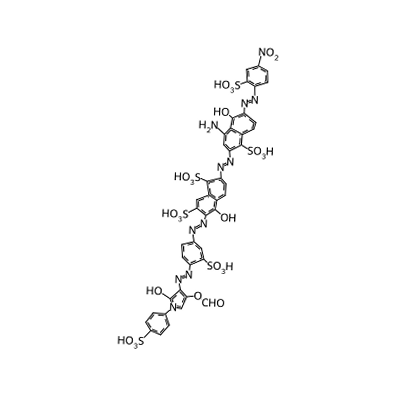 Nc1cc(N=Nc2ccc3c(O)c(N=Nc4ccc(N=Nc5c(OC=O)cn(-c6ccc(S(=O)(=O)O)cc6)c5O)c(S(=O)(=O)O)c4)c(S(=O)(=O)O)cc3c2S(=O)(=O)O)c(S(=O)(=O)O)c2ccc(N=Nc3ccc([N+](=O)[O-])cc3S(=O)(=O)O)c(O)c12